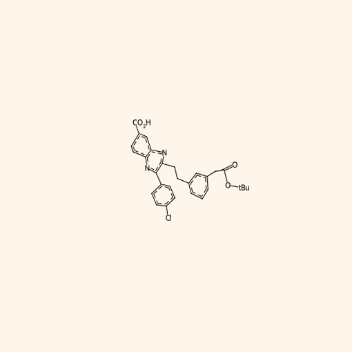 CC(C)(C)OC(=O)Cc1cccc(CCc2nc3cc(C(=O)O)ccc3nc2-c2ccc(Cl)cc2)c1